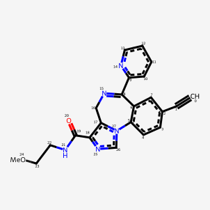 C#Cc1ccc2c(c1)C(c1ccccn1)=NCc1c(C(=O)NCCOC)ncn1-2